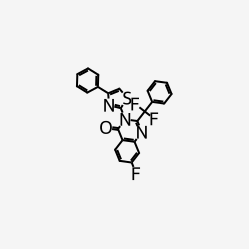 O=c1c2ccc(F)cc2nc(C(F)(F)c2ccccc2)n1-c1nc(-c2ccccc2)cs1